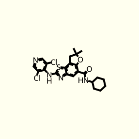 CC1(C)Cc2c(c(C(=O)NC3CCCCC3)cc3nc(Nc4c(Cl)cncc4Cl)sc23)O1